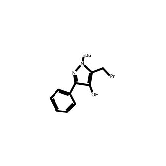 CCCCn1nc(-c2ccccc2)c(O)c1CC(C)C